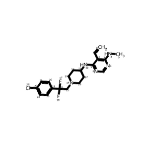 C=Cc1c(NC)ncnc1NC1CCN(CC(F)(F)c2ccc(Cl)cc2)CC1